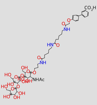 CC(=O)NC1C(O)[C@](O)(O[C@@H]2OC(CO)[C@H](O)C(O[C@H]3OC(CO)[C@H](O)C(O)C3O)C2O)C(CO)O[C@H]1OCCCNC(=O)CCCCCNC(=O)CCCCCNC(=O)COc1ccc(-c2cccc(C(=O)O)c2)cc1